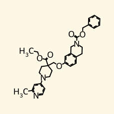 CCOC(=O)C1(COc2ccc3c(c2)CN(C(=O)OCc2ccccc2)CC3)CCN(c2ccnc(C)c2)CC1